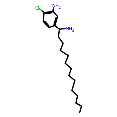 CCCCCCCCCCCCCC(N)c1ccc(Cl)c(N)c1